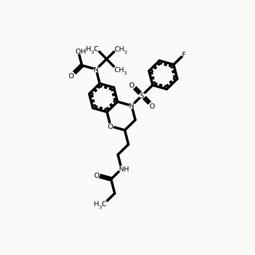 CCC(=O)NCCC1CN(S(=O)(=O)c2ccc(F)cc2)c2cc(N(C(=O)O)C(C)(C)C)ccc2O1